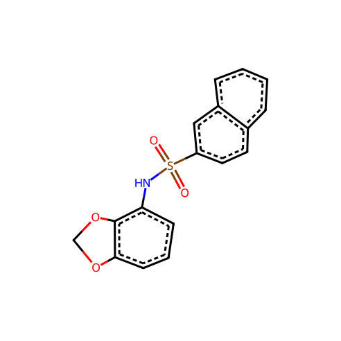 O=S(=O)(Nc1cccc2c1OCO2)c1ccc2ccccc2c1